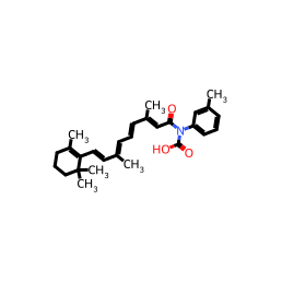 CC(C=CC1=C(C)CCCC1(C)C)=CC=CC(C)=CC(=O)N(C(=O)O)c1cccc(C)c1